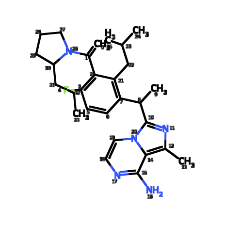 C=C(c1c(F)ccc(C(C)c2nc(C)c3c(N)nccn23)c1CC(C)C)N1CCCC1CCC